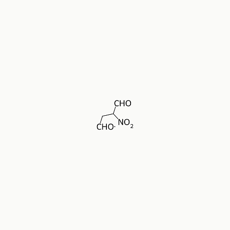 O=[C]CC(C=O)[N+](=O)[O-]